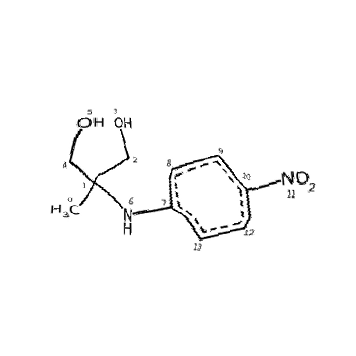 CC(CO)(CO)Nc1ccc([N+](=O)[O-])cc1